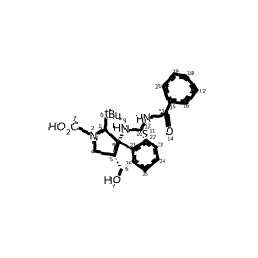 CC(C)(C)C1N(C(=O)O)C[C@@H](CO)[C@]1(NC(=S)NC(=O)c1ccccc1)c1ccccc1